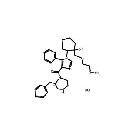 CSCCOCC1(O)CCCCC1n1cnc(C(=O)N2CCNC[C@H]2Cc2ccccc2)c1-c1ccccc1.Cl